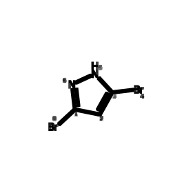 Brc1cc(Br)[nH]n1